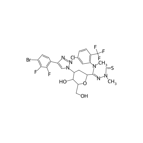 CN(C=S)/N=C(/C1CC(n2cc(-c3ccc(Br)c(F)c3F)nn2)C(O)C(CO)O1)N(C)c1cc(Cl)ccc1C(F)(F)F